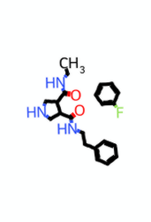 CCNC(=O)C1CNCC1C(=O)NCCc1ccccc1.Fc1ccccc1